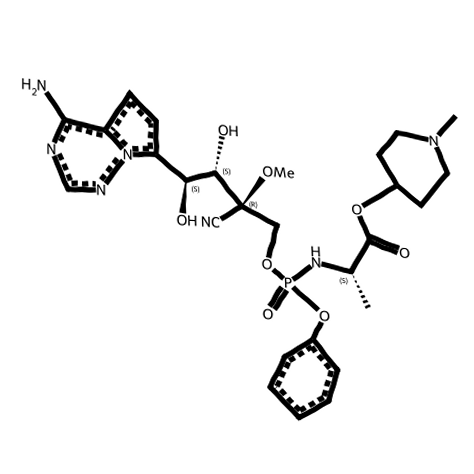 CO[C@](C#N)(COP(=O)(N[C@@H](C)C(=O)OC1CCN(C)CC1)Oc1ccccc1)[C@@H](O)[C@@H](O)c1ccc2c(N)ncnn12